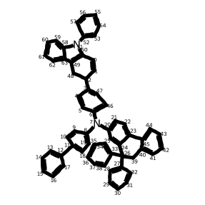 C1=CC(c2ccc(N(c3ccc(-c4ccccc4)cc3)c3ccc4c(c3)C(c3ccccc3)(c3ccccc3)Cc3ccccc3-4)cc2)Cc2c1n(-c1ccccc1)c1ccccc21